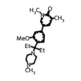 CCC(CC)(c1ccc(-c2cc(C)c(=O)n(C)c2)cc1OC)N1CCN(C)CC1